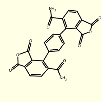 NC(=O)c1ccc2c(c1-c1ccc(-c3c(C(N)=O)ccc4c3C(=O)OC4=O)cc1)C(=O)OC2=O